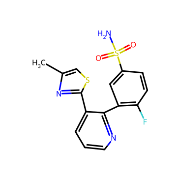 Cc1csc(-c2cccnc2-c2cc(S(N)(=O)=O)ccc2F)n1